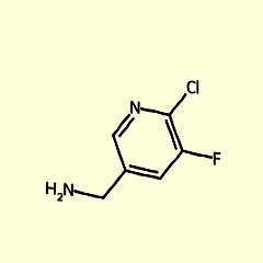 NCc1cnc(Cl)c(F)c1